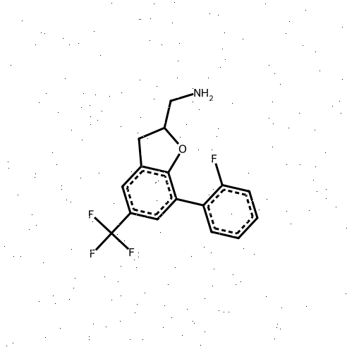 NCC1Cc2cc(C(F)(F)F)cc(-c3ccccc3F)c2O1